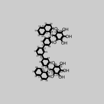 Oc1c(O)c(O)c(N(c2ccc(-c3cccc(-c4ccc(N(c5c(O)c(O)c(O)c(O)c5O)c5cccc6ccccc56)cc4)c3)cc2)c2cccc3ccccc23)c(O)c1O